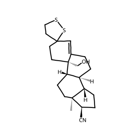 C[C@]12CC[C@H]3[C@@H](CCC4=CC5(CCSS5)CC[C@@]43CO)[C@@H]1CC[C@H]2C#N